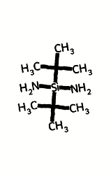 CC(C)(C)[Si](N)(N)C(C)(C)C